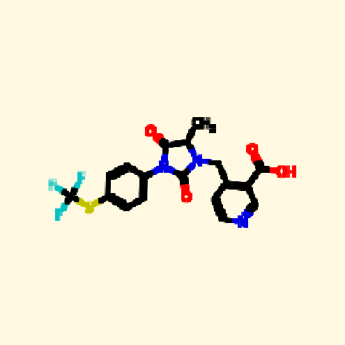 CC1C(=O)N(c2ccc(SC(F)(F)F)cc2)C(=O)N1Cc1ccncc1C(=O)O